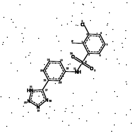 Cc1c(Cl)cccc1S(=O)(=O)Nc1cccc(-c2nnn[nH]2)c1